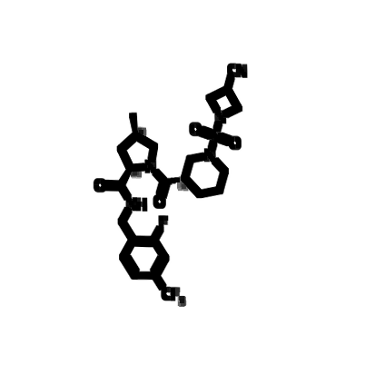 C[C@@H]1C[C@H](C(=O)NCc2ccc(C(F)(F)F)cc2F)N(C(=O)[C@H]2CCCN(S(=O)(=O)N3CC(C#N)C3)C2)C1